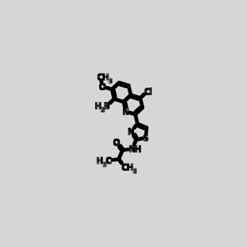 Bc1c(OC)ccc2c(Cl)cc(-c3csc(NC(=O)C(C)C)n3)nc12